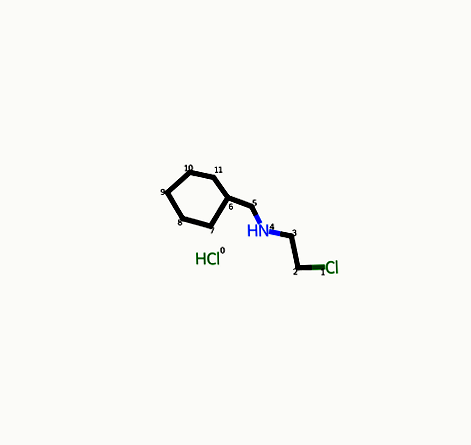 Cl.ClCCNCC1CCCCC1